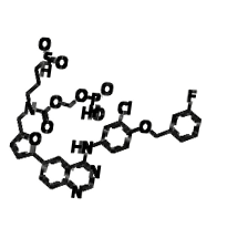 O=C(OCO[PH](=O)O)N(CCC[SH](=O)=O)Cc1ccc(-c2ccc3ncnc(Nc4ccc(OCc5cccc(F)c5)c(Cl)c4)c3c2)o1